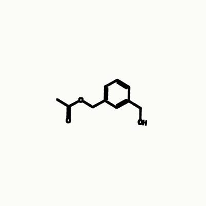 CC(=O)OCc1cccc(CO)c1